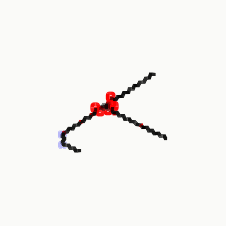 CCCCC/C=C\C/C=C\CCCCCCCCCCCC(=O)OC[C@@H](COC(=O)CCCCCCCCCCCCCCC)OC(=O)CCCCCCCCCCCCCCCCCCC